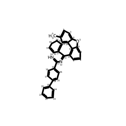 Cc1ccc2oc3cccc(/C(=N/C(=N)c4ccc(-c5ccccc5)cc4)C4=CCCC=C4)c3c2c1